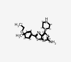 CCOC1(C)C=CC(c2nc3c(N4CCNCC4)nc(N)nc3s2)=CC1